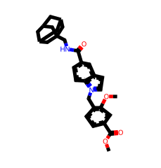 COC(=O)c1ccc(Cn2ccc3cc(C(=O)NCC45CC6CC(CC(C6)C4)C5)ccc32)c(OC)c1